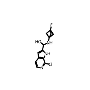 OC(NC12CC(F)(C1)C2)c1cc2ccnc(Cl)c2[nH]1